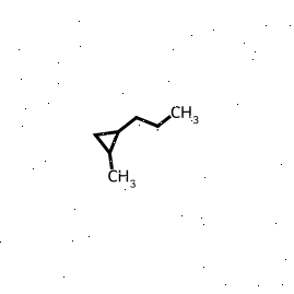 C[CH]CC1CC1C